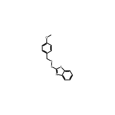 COc1ccc(CSSc2nc3ccccc3s2)cc1